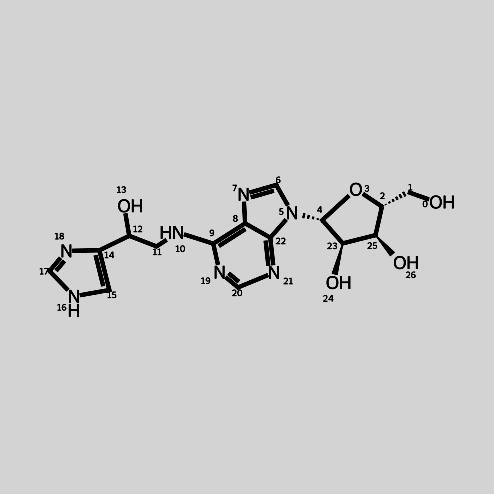 OC[C@H]1O[C@@H](n2cnc3c(NCC(O)c4c[nH]cn4)ncnc32)[C@H](O)[C@@H]1O